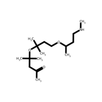 CNCCC(C)OCCC(C)(C)OC(C)(C)CC(C)=O